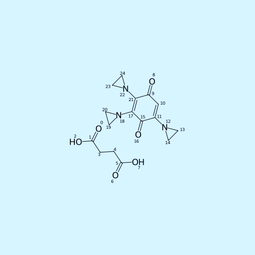 O=C(O)CCC(=O)O.O=C1C=C(N2CC2)C(=O)C(N2CC2)=C1N1CC1